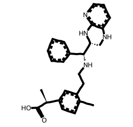 Cc1ccc([C@H](C)C(=O)O)cc1CCN[C@H](c1ccccc1)[C@H]1CNc2cccnc2N1